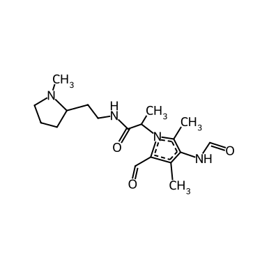 Cc1c(NC=O)c(C)n(C(C)C(=O)NCCC2CCCN2C)c1C=O